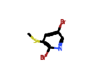 CSc1cc(Br)cnc1Br